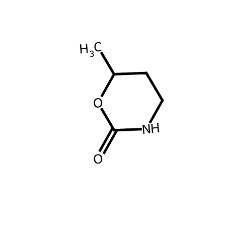 CC1CCNC(=O)O1